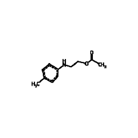 CC(=O)OCCNc1ccc(C)cc1